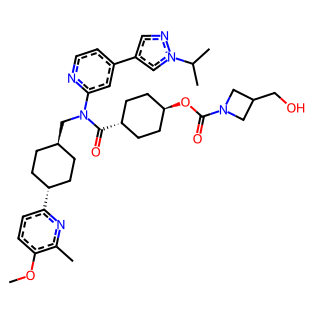 COc1ccc([C@H]2CC[C@H](CN(c3cc(-c4cnn(C(C)C)c4)ccn3)C(=O)[C@H]3CC[C@H](OC(=O)N4CC(CO)C4)CC3)CC2)nc1C